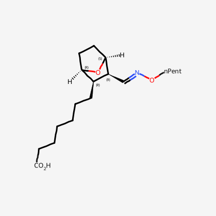 CCCCCON=C[C@H]1[C@@H](CCCCCCC(=O)O)[C@H]2CC[C@@H]1O2